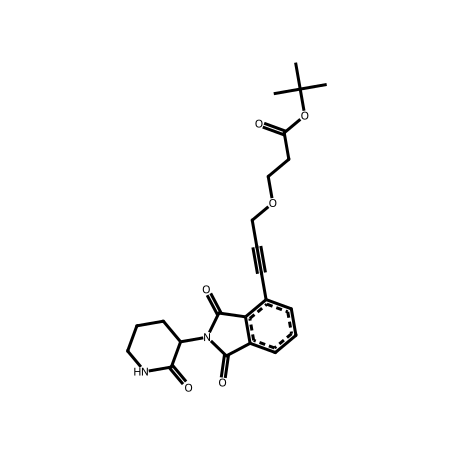 CC(C)(C)OC(=O)CCOCC#Cc1cccc2c1C(=O)N(C1CCCNC1=O)C2=O